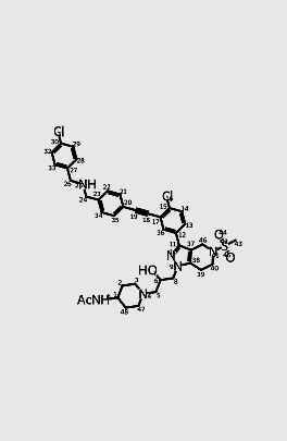 CC(=O)NC1CCN(CC(O)Cn2nc(-c3ccc(Cl)c(C#Cc4ccc(CNCc5ccc(Cl)cc5)cc4)c3)c3c2CCN(S(C)(=O)=O)C3)CC1